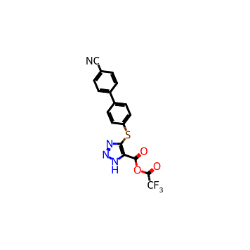 N#Cc1ccc(-c2ccc(Sc3nn[nH]c3C(=O)OC(=O)C(F)(F)F)cc2)cc1